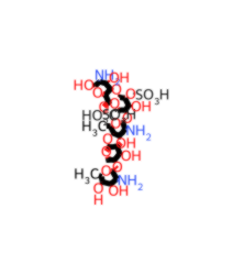 CC1O[C@H](O[C@@H]2C(C(=O)O)O[C@@H](O[C@@H]3C(COS(=O)(=O)O)O[C@H](O)C(N)[C@H]3O)C(OS(=O)(=O)O)[C@H]2O)C(N)C[C@@H]1O[C@@H]1OC[C@@H](O[C@@H]2OC(C)[C@@H](O)[C@H](O)C2N)[C@H](O)C1O